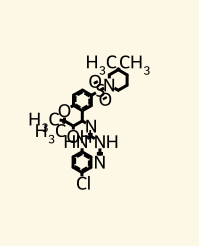 CC1(C)CCCN(S(=O)(=O)c2ccc3c(c2)C(/N=C(/NC#N)Nc2ccc(Cl)cc2)C(O)C(C)(C)O3)C1